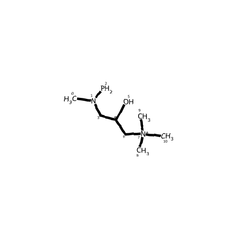 CN(P)CC(O)C[N+](C)(C)C